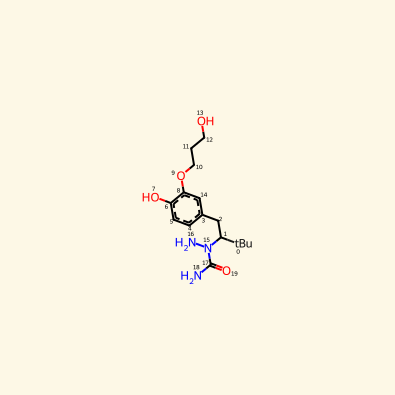 CC(C)(C)C(Cc1ccc(O)c(OCCCO)c1)N(N)C(N)=O